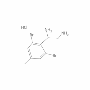 Cc1cc(Br)c(C(N)CN)c(Br)c1.Cl